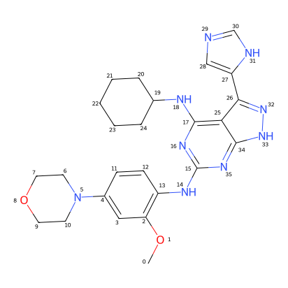 COc1cc(N2CCOCC2)ccc1Nc1nc(NC2CCCCC2)c2c(-c3cnc[nH]3)n[nH]c2n1